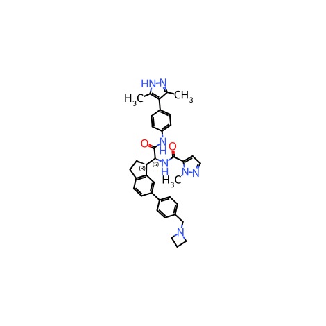 Cc1n[nH]c(C)c1-c1ccc(NC(=O)[C@@H](NC(=O)c2ccnn2C)[C@@H]2CCc3ccc(-c4ccc(CN5CCC5)cc4)cc32)cc1